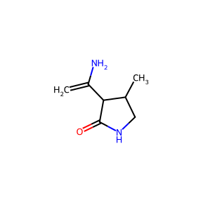 C=C(N)C1C(=O)NCC1C